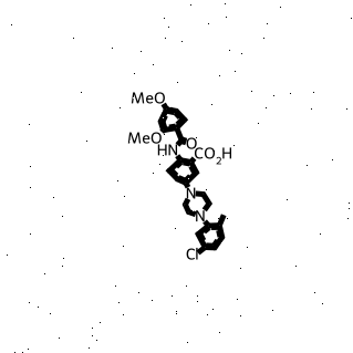 COc1ccc(C(=O)Nc2ccc(N3CCN(c4cc(Cl)ccc4C)CC3)cc2C(=O)O)c(OC)c1